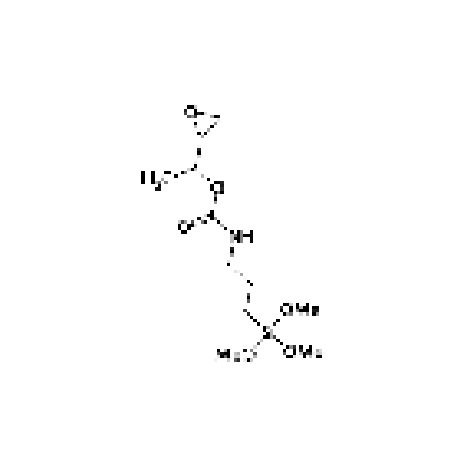 CO[Si](CCCNC(=O)OC(C)C1CO1)(OC)OC